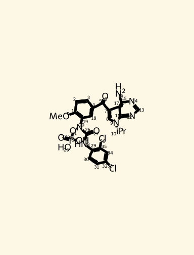 COc1ccc(C(=O)c2cn(C(C)C)c3ncnc(N)c23)cc1N(OP(=O)(O)O)C(=O)Nc1ccc(Cl)cc1Cl